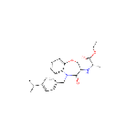 CCOC(=O)[C@H](C)NC1COc2ccccc2N(Cc2ccc(C(C)C)cc2)C1=O